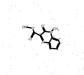 Cn1c(=O)c(C(=O)ON=O)nc2ccccc21